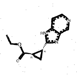 CCOC(=O)[C@@H]1C[C@H]1c1nc2cnccc2[nH]1